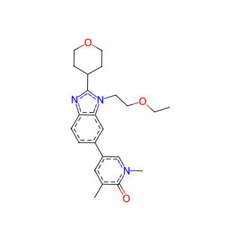 CCOCCn1c(C2CCOCC2)nc2ccc(-c3cc(C)c(=O)n(C)c3)cc21